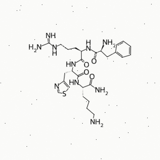 N=C(N)NCCC[C@@H](NC(=O)[C@@H](N)Cc1ccccc1)C(=O)N[C@@H](Cc1cscn1)C(=O)N[C@@H](CCCCN)C(N)=O